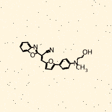 CN(CCO)c1ccc(-c2ccc(/C=C(\C#N)c3nc4ccccc4o3)o2)cc1